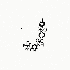 Cc1ccc(S(=O)(=O)N2CCC(OC(=O)Nc3ccc(OC(C)C(F)(F)F)nc3)CC2)cc1